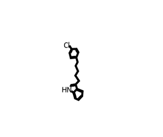 Clc1ccc(CCCCCc2c[nH]c3ccccc23)cc1